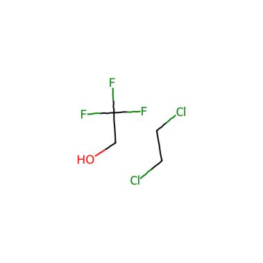 ClCCCl.OCC(F)(F)F